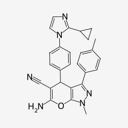 Cc1ccc(-c2nn(C)c3c2C(c2ccc(-n4ccnc4C4CC4)cc2)C(C#N)=C(N)O3)cc1